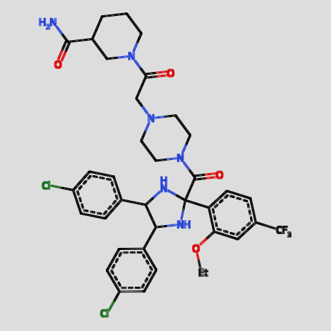 CCOc1cc(C(F)(F)F)ccc1C1(C(=O)N2CCN(CC(=O)N3CCCC(C(N)=O)C3)CC2)NC(c2ccc(Cl)cc2)C(c2ccc(Cl)cc2)N1